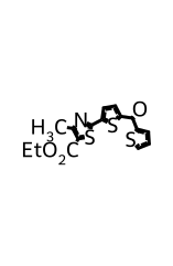 CCOC(=O)c1sc(-c2ccc(C(=O)c3cccs3)s2)nc1C